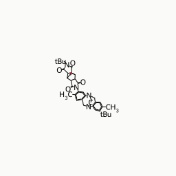 Cc1cc2c(cc1N1C(=O)C3C4C=CC(C3C1=O)C1C(=O)N(C(C)(C)C)C(=O)C41)N1CCN(C2)c2cc(C(C)(C)C)c(C)cc2C1